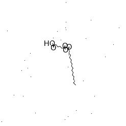 CCCCCCCCCCCCCCCCCC(=O)OC(=O)CCCCC(=O)O